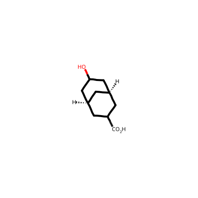 O=C(O)C1C[C@H]2CC(O)C[C@@H](C1)C2